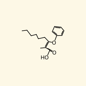 CCCCCC/C(Oc1ccccc1)=C(\C)C(=O)O